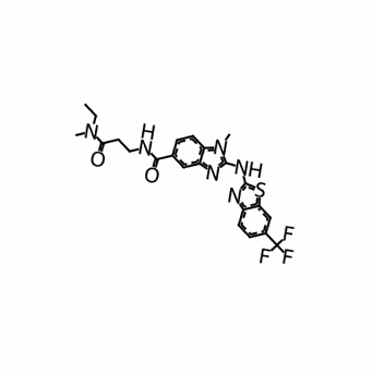 CCN(C)C(=O)CCNC(=O)c1ccc2c(c1)nc(Nc1nc3ccc(C(F)(F)F)cc3s1)n2C